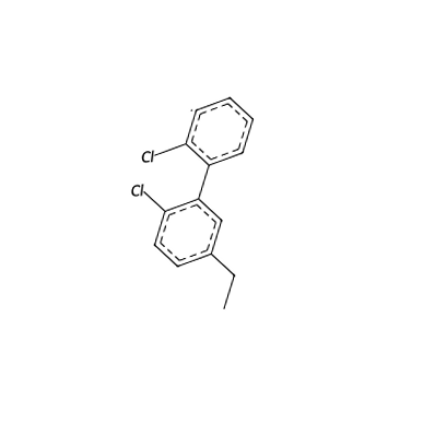 CCc1ccc(Cl)c(-c2ccc[c]c2Cl)c1